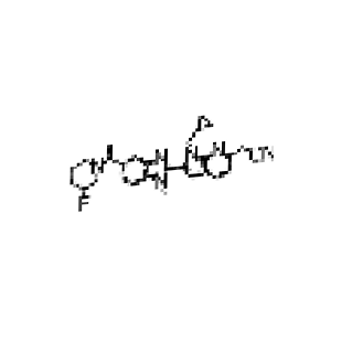 C=C(c1ccc2c(c1)nc(-c1cc3ccc(CC#N)nc3n1CC1CC1)n2C)N1CCCC(F)C1